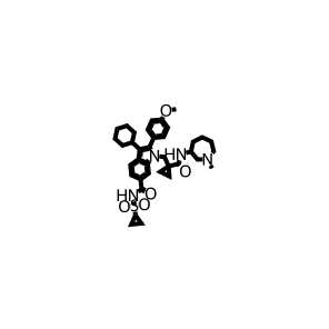 COc1ccc(-c2c(C3CCCCC3)c3ccc(C(=O)NS(=O)(=O)C4CC4)cc3n2CC2(C(=O)NC3CCCCN(C)C3)CC2)cc1